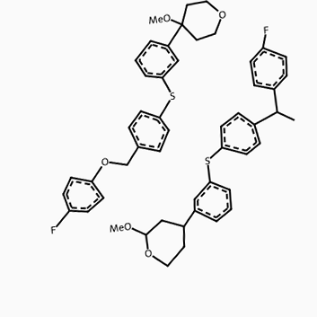 COC1(c2cccc(Sc3ccc(COc4ccc(F)cc4)cc3)c2)CCOCC1.COC1CC(c2cccc(Sc3ccc(C(C)c4ccc(F)cc4)cc3)c2)CCO1